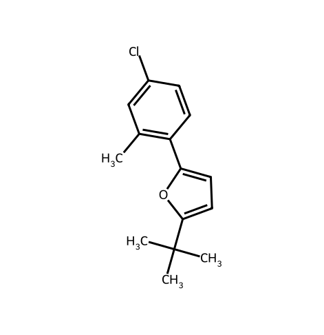 Cc1cc(Cl)ccc1-c1ccc(C(C)(C)C)o1